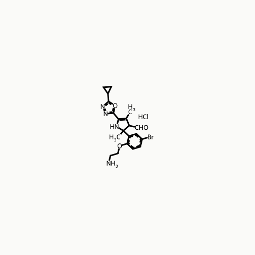 CC1=C(c2nnc(C3CC3)o2)NC(C)(c2cc(Br)ccc2OCCN)C1C=O.Cl